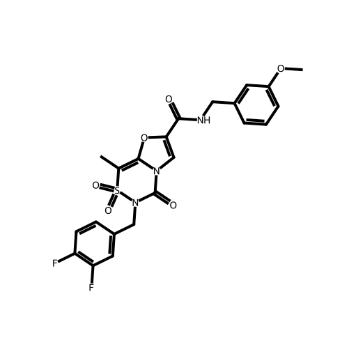 COc1cccc(CNC(=O)C2=CN3C(=O)N(Cc4ccc(F)c(F)c4)S(=O)(=O)C(C)=C3O2)c1